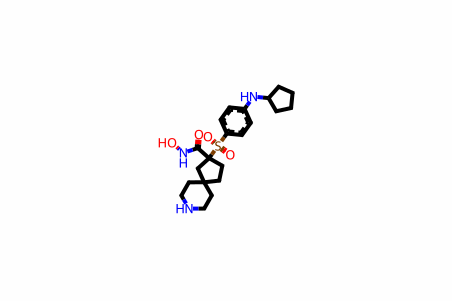 O=C(NO)C1(S(=O)(=O)c2ccc(NC3CCCC3)cc2)CCC2(CCNCC2)C1